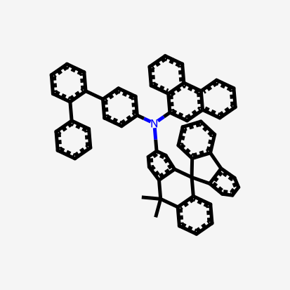 CC1(C)c2ccccc2C2(c3ccccc3-c3ccccc32)c2cc(N(c3ccc(-c4ccccc4-c4ccccc4)cc3)c3cc4ccccc4c4ccccc34)ccc21